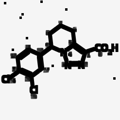 O=C(O)c1nnn2c1CCCC2c1ccc(Cl)c(Cl)c1